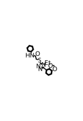 CCn1c(SCC(=O)Nc2ccccc2)nnc1-c1cccc2c1OCO2